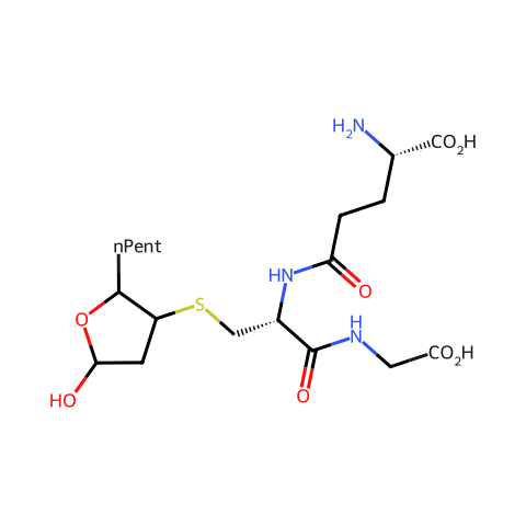 CCCCCC1OC(O)CC1SC[C@H](NC(=O)CC[C@H](N)C(=O)O)C(=O)NCC(=O)O